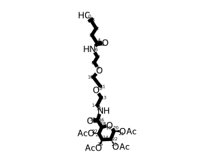 C#CCCC(=O)NCCOCCOCCNC(=O)C1O[C@@H](OC(C)=O)[C@H](OC(C)=O)[C@@H](OC(C)=O)[C@@H]1OC(C)=O